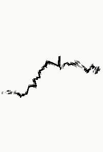 C=C(CCCCCCC/C=C\CCCCCCCC)OCCOCCO